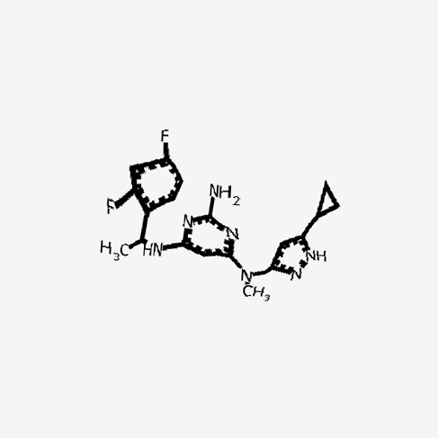 CC(Nc1cc(N(C)c2cc(C3CC3)[nH]n2)nc(N)n1)c1ccc(F)cc1F